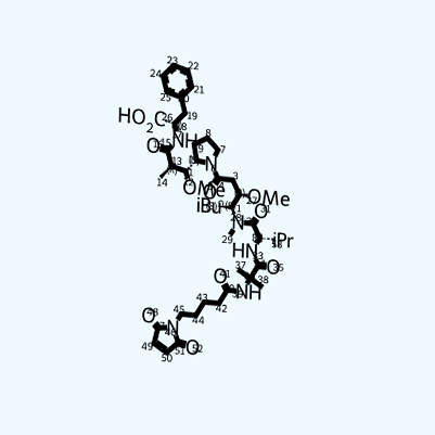 CC[C@H](C)[C@@H]([C@@H](CC(=O)N1CCC[C@H]1C(OC)[C@@H](C)C(=O)N[C@@H](Cc1ccccc1)C(=O)O)OC)N(C)C(=O)[C@@H](NC(=O)C(C)(C)NC(=O)CCCCN1C(=O)C=CC1=O)C(C)C